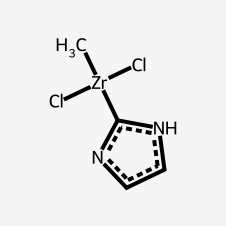 [CH3][Zr]([Cl])([Cl])[c]1ncc[nH]1